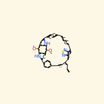 C=C/C=C1\C=C/c2ccc(cc2)-c2cc3c(OC)c4[nH]c(cc4c(OC)c3[nH]2)-c2ccc(cc2)-c2ccc(cc2)-c2ccc1c1nsnc21